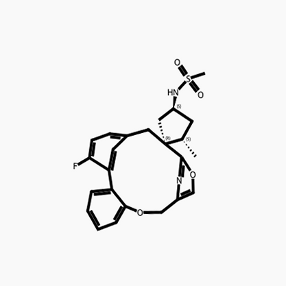 C[C@H]1C[C@H](NS(C)(=O)=O)C[C@]12Cc1ccc(F)c(c1)-c1ccccc1OCc1coc2n1